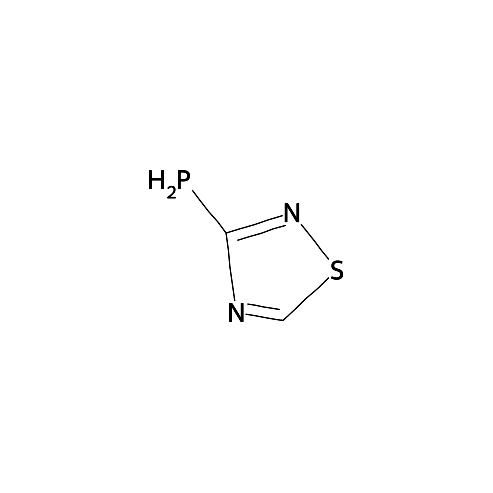 Pc1ncsn1